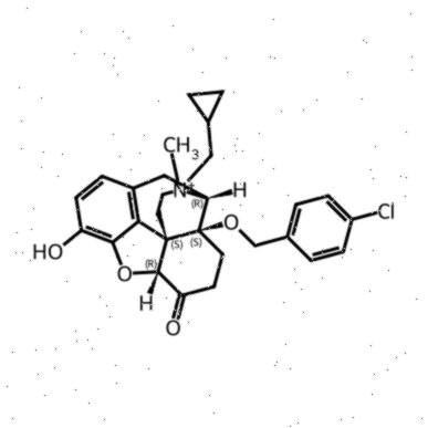 C[N+]1(CC2CC2)CC[C@]23c4c5ccc(O)c4O[C@H]2C(=O)CC[C@@]3(OCc2ccc(Cl)cc2)[C@H]1C5